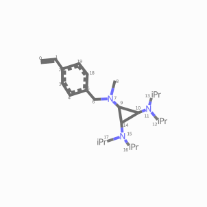 C=Cc1ccc(CN(C)C2C(N(C(C)C)C(C)C)C2N(C(C)C)C(C)C)cc1